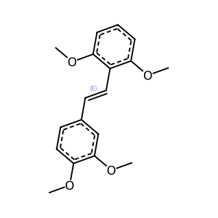 COc1ccc(/C=C/c2c(OC)cccc2OC)cc1OC